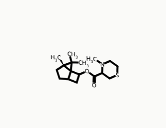 CN1CCSCC1C(=O)OC1CC2CC[C@]3(C)C(C)(C)C213